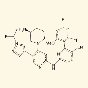 COc1cc(F)cc(F)c1-c1nc(Nc2cc(N3CCC[C@H](N)C3)c(-c3cnn(C(F)F)c3)cn2)ccc1C#N